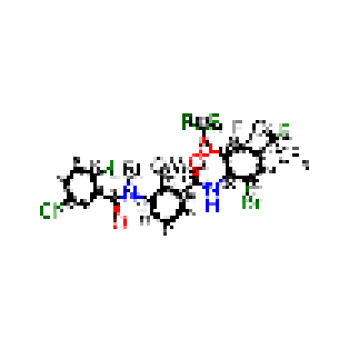 CCN(C(=O)c1cc(Cl)ccc1F)c1cccc(C(=O)Nc2c(Br)cc(C(F)(C(F)(F)F)C(F)(F)F)cc2OC(F)F)c1OC